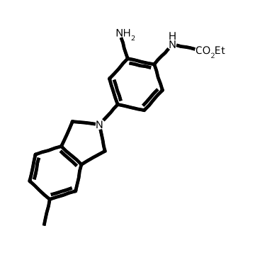 CCOC(=O)Nc1ccc(N2Cc3ccc(C)cc3C2)cc1N